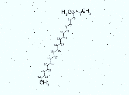 C=CCC(C)CC=CCCCCCCCCCCCCCCCCCC